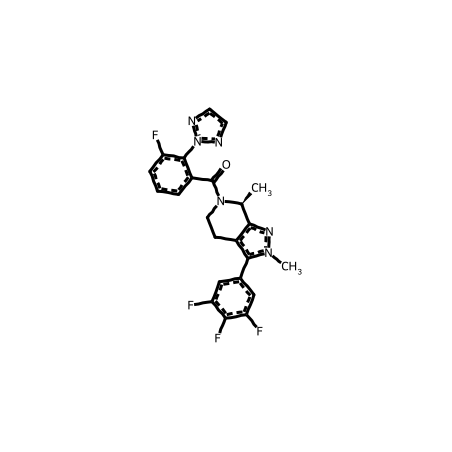 C[C@H]1c2nn(C)c(-c3cc(F)c(F)c(F)c3)c2CCN1C(=O)c1cccc(F)c1-n1nccn1